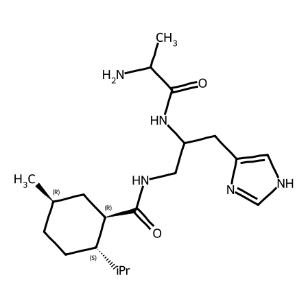 CC(N)C(=O)NC(CNC(=O)[C@@H]1C[C@H](C)CC[C@H]1C(C)C)Cc1c[nH]cn1